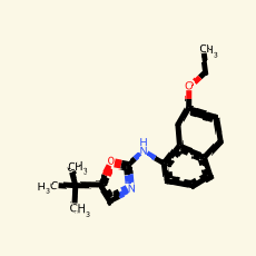 CCOC1=CCc2cccc(Nc3ncc(C(C)(C)C)o3)c2C1